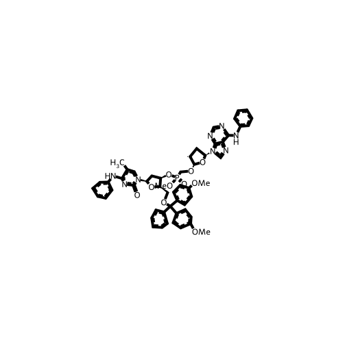 COc1ccc(C(OC[C@H]2O[C@@H](n3cc(C)c(Nc4ccccc4)nc3=O)C[C@H]2OP(=O)(CO[C@@H]2[CH]C[C@H](n3cnc4c(Nc5ccccc5)ncnc43)O2)OC)(c2ccccc2)c2ccc(OC)cc2)cc1